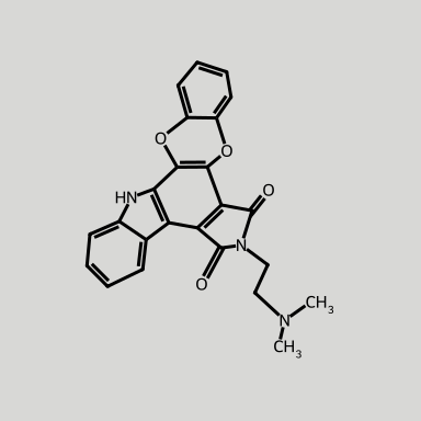 CN(C)CCn1c(=O)c2c3oc4ccccc4oc3c3[nH]c4ccccc4c3c2c1=O